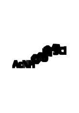 CC(=O)Nc1ccc(CC(=O)N2CCC(c3ccc(Cl)s3)=N2)cc1